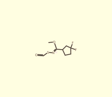 CO/C(=N\SC=O)C1CCC(F)(F)C1